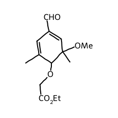 CCOC(=O)COC1C(C)=CC(C=O)=CC1(C)OC